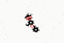 CCc1cc(B2OC(C)(C)C(C)(C)O2)ccc1OCc1ccccc1